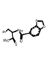 COC(=O)C(CC(C)C)NC(=O)c1ccc2c(c1)OCO2